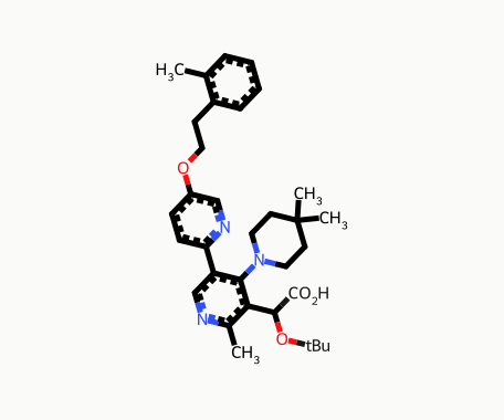 Cc1ccccc1CCOc1ccc(-c2cnc(C)c(C(OC(C)(C)C)C(=O)O)c2N2CCC(C)(C)CC2)nc1